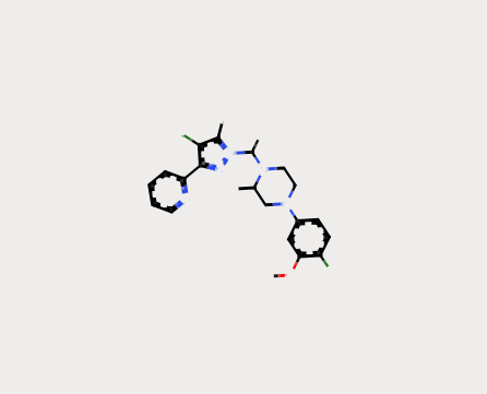 CCOc1cc(N2CCN(C(C=O)n3nc(-c4ccccn4)c(Cl)c3C)C(C)C2)ccc1Cl